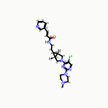 CN1CCN(c2ncc(F)c(N3C[C@@H]4C(CCNC(=O)/C=C/c5cccnc5)[C@@H]4C3)n2)CC1